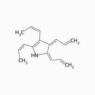 C=C/C=c1/c(/C=C\C)c(/C=C\C)[nH]/c1=C/C=C